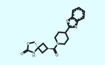 O=C1N[C@]2(CO1)C[C@H](C(=O)N1CCC(c3nc4ccccc4s3)CC1)C2